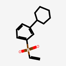 C=CS(=O)(=O)c1cccc(C2CCCCC2)c1